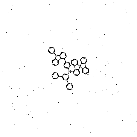 c1ccc(-c2cc(-c3ccccc3)cc(N(c3ccc(-c4cccc5c4c4ccccc4n5-c4ccccc4)cc3)c3cccc4c3-c3ccccc3C43c4ccccc4-c4ccccc43)c2)cc1